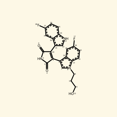 O=C1NC(=O)C(c2cn(CCCO)c3ccc(F)cc23)=C1c1c[nH]c2ccc(F)cc12